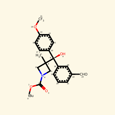 CC(C)(C)OC(=O)N1CC(C)([C@](O)(c2ccc(OC(F)(F)F)cc2)c2cccc(C=O)c2)C1